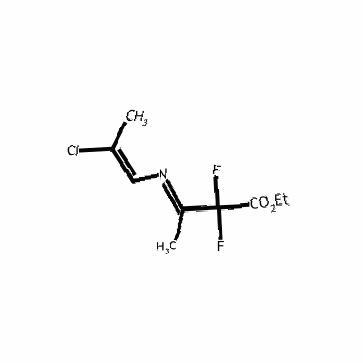 CCOC(=O)C(F)(F)/C(C)=N/C=C(\C)Cl